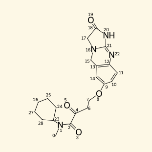 CN(C(=O)C(=O)CCOc1ccc2c(c1)CN1CC(=O)NC1=N2)C1CCCCC1